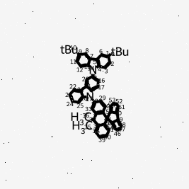 CC(C)(C)c1ccc2c(c1)c1cc(C(C)(C)C)ccc1n2-c1ccc2c(c1)c1ccccc1n2-c1ccc2c(c1)C(C)(C)c1ccccc1C21c2ccccc2-c2ccccc21